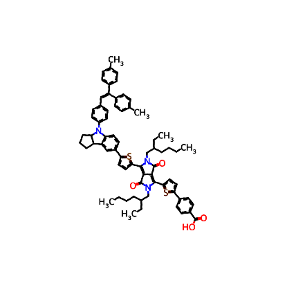 CCCCC(CC)CN1C(=O)C2=C(c3ccc(-c4ccc5c(c4)C4CCCC4N5c4ccc(C=C(c5ccc(C)cc5)c5ccc(C)cc5)cc4)s3)N(CC(CC)CCCC)C(=O)C2=C1c1ccc(-c2ccc(C(=O)O)cc2)s1